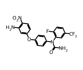 NC(=O)N(c1ccc(Oc2ccc([N+](=O)[O-])c(N)c2)cc1)c1cc(C(F)(F)F)ccc1F